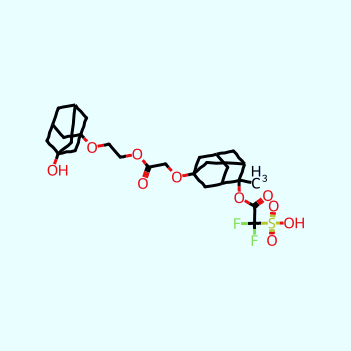 CC1(OC(=O)C(F)(F)S(=O)(=O)O)C2CC3CC1CC(OCC(=O)OCCOC14CC5CC(CC(O)(C5)C1)C4)(C3)C2